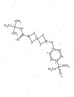 CC(C)(C)OC(=O)N1CC2(CN(Cc3ccc(P(C)(C)=O)cc3)C2)C1